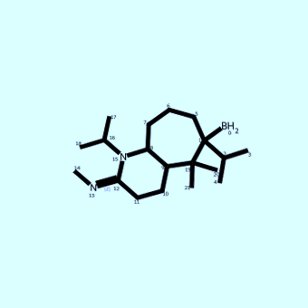 BC1(C(C)C)CCCC2C(CC/C(=N/C)N2C(C)C)C1(C)C